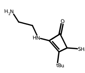 CC(C)(C)C1=C(NCCN)C(=O)C1S